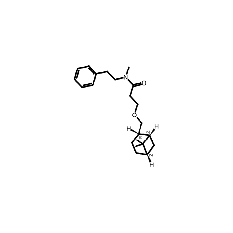 CN(CCc1ccccc1)C(=O)CCOC[C@H]1CC[C@H]2C[C@@H]1C2(C)C